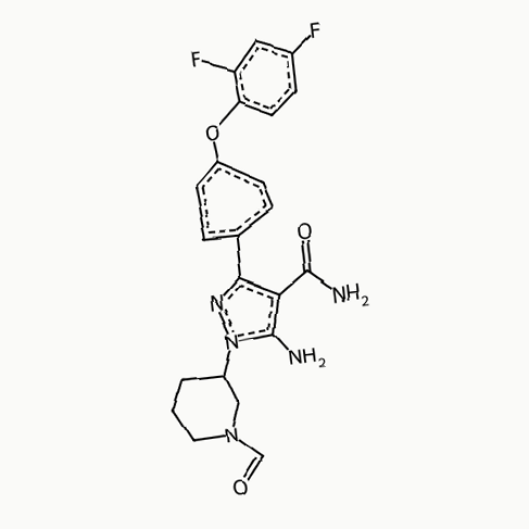 NC(=O)c1c(-c2ccc(Oc3ccc(F)cc3F)cc2)nn(C2CCCN(C=O)C2)c1N